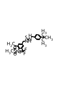 C=Cc1cc(CNC(=S)NCc2ccc(C(C)(C)C)cc2)cc(C(F)(F)F)c1NS(C)(=O)=O